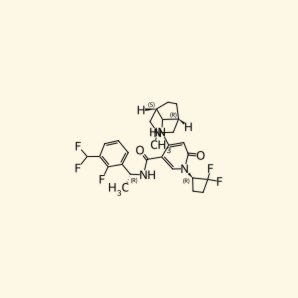 C[C@@H](NC(=O)c1cn([C@@H]2CCC2(F)F)c(=O)cc1NC1[C@@H]2CC[C@H]1CN(C)C2)c1cccc(C(F)F)c1F